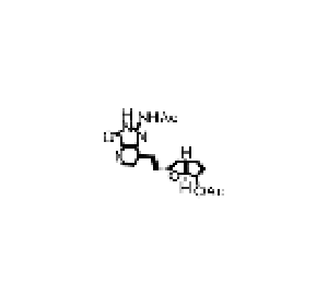 CC(=O)Nc1nc2c(c(=O)[nH]1)N=CCC2/C=C/[C@@H]1C[C@H]2CC[C@@H](OC(C)=O)[C@H]2O1